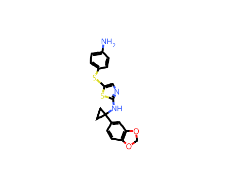 Nc1ccc(Sc2cnc(NC3(c4ccc5c(c4)OCO5)CC3)s2)cc1